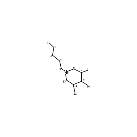 CCCCCN1CC(C)C(C)C(C)C1